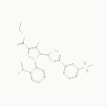 CCOC(=O)c1nn(-c2ccccc2C(C)C)c(-c2noc(-c3cccc(S(C)(=O)=O)c3)n2)c1Br